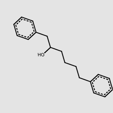 OC(CCCCc1ccccc1)Cc1ccccc1